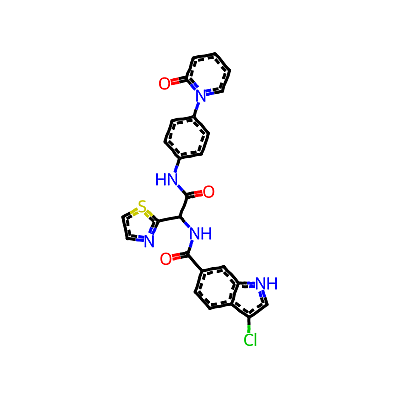 O=C(NC(C(=O)Nc1ccc(-n2ccccc2=O)cc1)c1nccs1)c1ccc2c(Cl)c[nH]c2c1